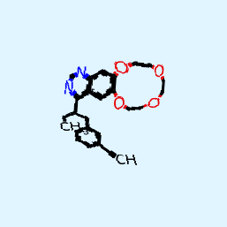 C#Cc1cccc(CC(CC)c2ncnc3cc4c(cc23)OCCOCCOCCO4)c1